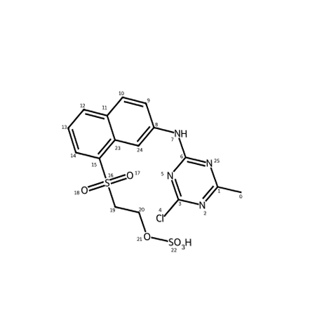 Cc1nc(Cl)nc(Nc2ccc3cccc(S(=O)(=O)CCOS(=O)(=O)O)c3c2)n1